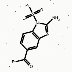 CCC(=O)c1ccc2c(c1)nc(N)n2S(=O)(=O)C(C)C